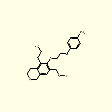 COCc1cc2c(c(COC)c1OCCOc1ccc(C)cc1)CCOC2